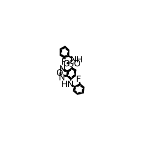 O=S(=O)(Nc1ccccc1F)c1ccc(Nc2ccccc2F)c2nonc12